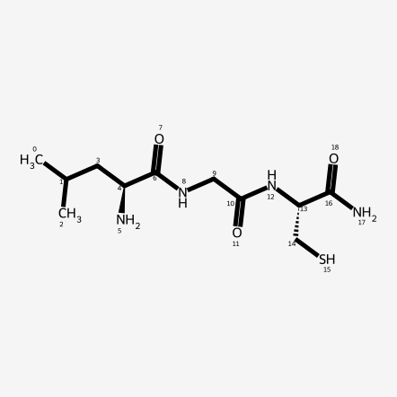 CC(C)C[C@H](N)C(=O)NCC(=O)N[C@@H](CS)C(N)=O